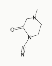 CN1CCN(C#N)C(=O)C1